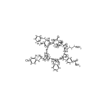 NCCCC[C@@H]1NC(=O)[C@@H](Cc2ccc(C(N)=O)cc2)NC(=O)[C@H](Cc2ccccc2)NC(=O)[C@H](NC(=O)[C@@H](N)Cc2ccc(Cl)cc2)CSSCC2(C(=O)NC(Cc3ccccc3)C(N)=O)C[C@@H](O)[C@H](NC1=O)C(=O)N2